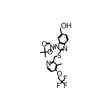 Cc1c(OCC(F)(F)F)ccnc1CSc1nc2ccc(CO)cc2n1N(C=O)OC(C)(C)C